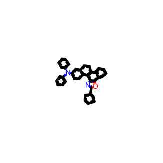 c1ccc(-c2nc3c(o2)c2ccccc2c2ccc4cc(N(c5ccccc5)c5ccccc5)ccc4c23)cc1